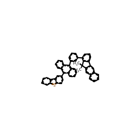 CC1(C)c2cc3ccccc3cc2-c2cccc(-c3cccc(-c4c5ccccc5c(-c5ccc6sc7ccccc7c6c5)c5ccccc45)c3)c21